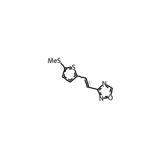 CSc1ccc(/C=C/c2ncon2)s1